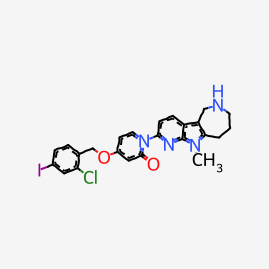 Cn1c2c(c3ccc(-n4ccc(OCc5ccc(I)cc5Cl)cc4=O)nc31)CNCCC2